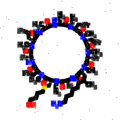 CC[C@H]1NC(=O)[C@@H](C[C@H](C)CCCCCCN)N(C)C(=O)[C@@H](C(C)C)N(C)C(=O)[C@@H](CC(C)C)N(C)C(=O)[C@H](CC(C)C)N(C)C(=O)[C@H](C)NC(=O)[C@@H](C)NC(=O)[C@@H](CCC(C)C)N(C)C(=O)[C@@H](C(C)C)NC(=O)[C@H](CC(C)C)N(C)C(=O)[C@@H](CSCCCCO)N(C)C1=O